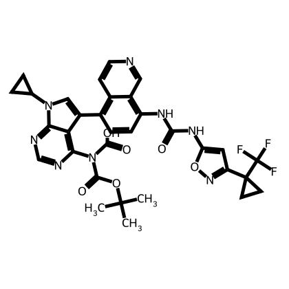 CC(C)(C)OC(=O)N(C(=O)O)c1ncnc2c1c(-c1ccc(NC(=O)Nc3cc(C4(C(F)(F)F)CC4)no3)c3cnccc13)cn2C1CC1